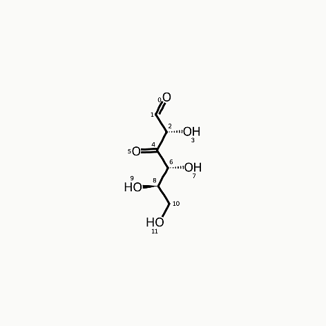 O=C[C@H](O)C(=O)[C@H](O)[C@H](O)CO